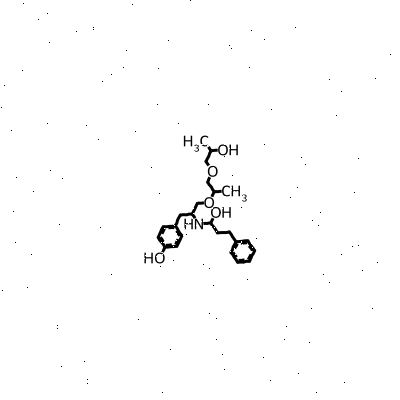 CC(O)COCC(C)OCC(Cc1ccc(O)cc1)NC(O)CCc1ccccc1